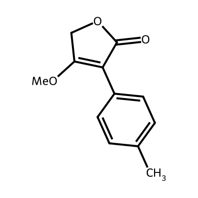 COC1=C(c2ccc(C)cc2)C(=O)OC1